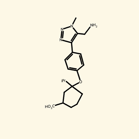 CC(C)C1(Oc2ccc(-c3nnn(C)c3CN)cc2)CCCC(C(=O)O)C1